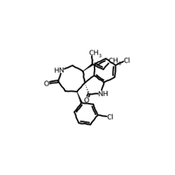 CC=C(C)[C@@H]1CNC(=O)C[C@H](c2cccc(Cl)c2)[C@@]12C(=O)Nc1cc(Cl)ccc12